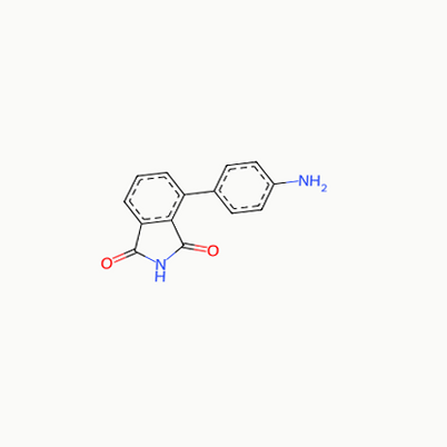 Nc1ccc(-c2cccc3c2C(=O)NC3=O)cc1